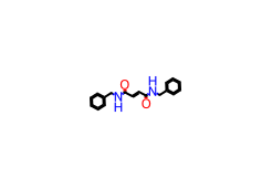 O=C(C=CC(=O)NCc1ccccc1)NCc1ccccc1